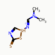 CN(C)/C=N/[SH]1C=NC(=S)S1